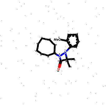 COc1ccccc1N1N(C2CCCCCCC2)C(=O)C1(C)C